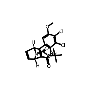 COc1cc2c3c(c(=O)[nH]c2c(Cl)c1Cl)[C@@H]1C=C[C@H]3N1C(=O)OC(C)(C)C